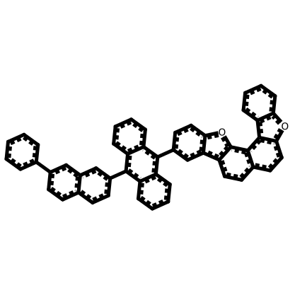 c1ccc(-c2ccc3ccc(-c4c5ccccc5c(-c5ccc6oc7c(ccc8ccc9oc%10ccccc%10c9c87)c6c5)c5ccccc45)cc3c2)cc1